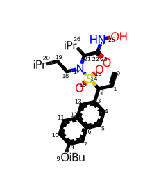 C=CC(c1ccc2cc(OCC(C)C)ccc2c1)S(=O)(=O)N(CCC(C)C)C(C(=O)NO)C(C)C